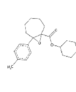 Cc1ccc(C23CCCCCC2(C(=O)OC2CCCCC2)O3)cc1